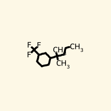 CCCC(C)(C)C1CCCC(C(F)(F)F)C1